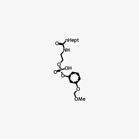 CCCCCCCC(=O)NCCOP(=O)(O)Oc1cccc(OCOC)c1